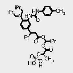 CCC(CC(=O)OC(OC(=O)[C@H](C)OP(=O)(O)O)C(C)C)c1ccc(N(CC(C)C)CC(C)C)c(NC(=O)Nc2ccc(C)cc2)c1